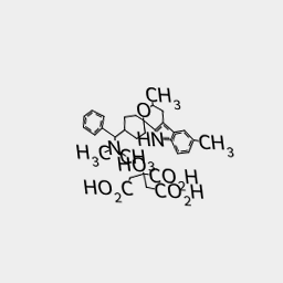 Cc1ccc2[nH]c3c(c2c1)CC(C)OC31CCC(C(c2ccccc2)N(C)C)CC1.O=C(O)CC(O)(CC(=O)O)C(=O)O